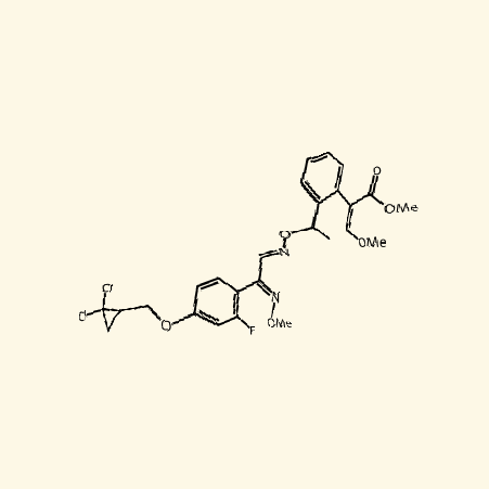 COC=C(C(=O)OC)c1ccccc1C(C)ON=CC(=NOC)c1ccc(OCC2CC2(Cl)Cl)cc1F